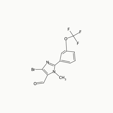 Cn1c(-c2cccc(OC(F)(F)F)c2)nc(Br)c1C=O